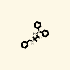 CC(C)(NCc1ccccc1)C(=O)NN(c1ccccc1)c1ccccc1